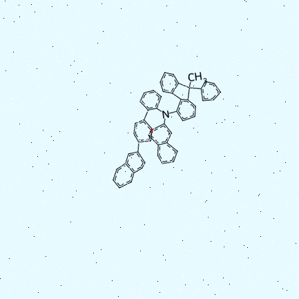 CC1(c2ccccc2)c2ccccc2-c2c(N(c3ccc4ccccc4c3)c3ccccc3-c3ccc(-c4ccc5ccccc5c4)cc3)cccc21